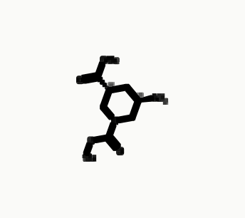 COC(=O)[C@@H]1C[C@@H](N)CN(C(=O)OC(C)(C)C)C1